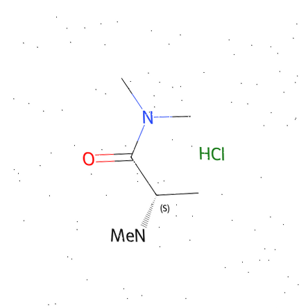 CN[C@@H](C)C(=O)N(C)C.Cl